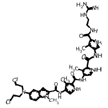 Cc1c(NC(=O)c2[nH]cc(NC(=O)c3[nH]cc(NC(=O)c4cc5cc(N(CCCl)CCCl)ccc5n4C)c3C)c2C)c[nH]c1C(=O)NCCNC(=N)N